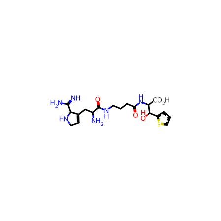 N=C(N)C1NCC=C1CC(N)C(=O)NCCCC(=O)NC(C(=O)O)C(O)c1cccs1